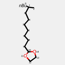 CCCCC(C)CCCCCCCC1OCCO1